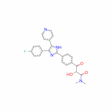 CN(C)C(=O)C(O)C(=O)c1ccc(-c2nc(-c3ccc(F)cc3)c(-c3ccncc3)[nH]2)cc1